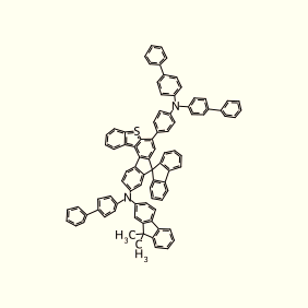 CC1(C)c2ccccc2-c2ccc(N(c3ccc(-c4ccccc4)cc3)c3ccc4c(c3)C3(c5ccccc5-c5ccccc53)c3cc(-c5ccc(N(c6ccc(-c7ccccc7)cc6)c6ccc(-c7ccccc7)cc6)cc5)c5sc6ccccc6c5c3-4)cc21